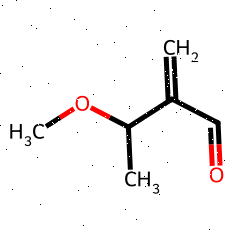 C=C(C=O)C(C)OC